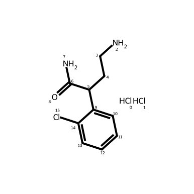 Cl.Cl.NCCC(C(N)=O)c1ccccc1Cl